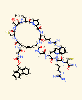 C[C@H](NC(=O)[C@@H]1CC=CC[C@H](NC(=O)CNC(=O)OCC2c3ccccc3-c3ccccc32)C(=O)N[C@@H](CS)C(=O)N[C@@H](CO)C(=O)N[C@@H](CC(=O)O)C(=O)N2CCCC2C(=O)N[C@@H](CCCNC(=N)N)C(=O)N1)C(=O)N[C@@H](Cc1cc2ccccc2[nH]1)C(=O)N[C@@H](CCCNC(=N)N)C(=O)N[C@@H](CS)C(N)=O